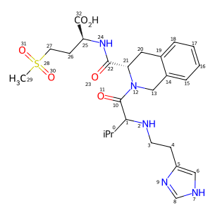 CC(C)C(NCCc1c[nH]cn1)C(=O)N1Cc2ccccc2C[C@H]1C(=O)N[C@@H](CCS(C)(=O)=O)C(=O)O